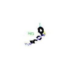 Cl.NC1CC(CCN2CCN(c3nsc4cc(F)ccc34)CC2)C1